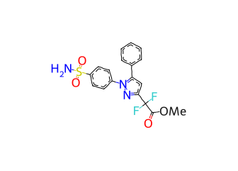 COC(=O)C(F)(F)c1cc(-c2ccccc2)n(-c2ccc(S(N)(=O)=O)cc2)n1